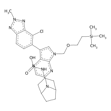 Cn1nc2ccc(-c3cn(COCC[Si](C)(C)C)c4nc(N5C6CCC5CC(NC(=O)O)C6)cnc34)c(Cl)c2n1